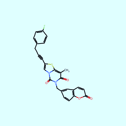 Cc1c(=O)n(Cc2ccc3oc(=O)ccc3c2)c(=O)n2cc(C#CCc3ccc(F)cc3)sc12